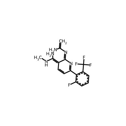 C=C(N)/N=C1/N=C(c2c(F)cccc2C(F)(F)F)C=C/C1=C(/N)NC